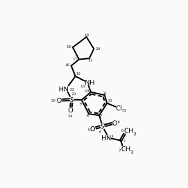 C=C(C)NS(=O)(=O)c1cc2c(cc1Cl)NC(CC1CCCC1)NS2(=O)=O